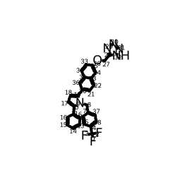 FC(F)(F)c1ccc(Cn2c(-c3ccccc3)ccc2-c2ccc3cc(OCc4nnn[nH]4)ccc3c2)cc1